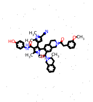 COc1cccc(CC(=O)N2CCc3cc(-c4c(-c5cc(C#N)n(C)c5C)c(C(=O)Nc5ccc(O)cc5)c(C)n4C)c(C(=O)N4Cc5ccccc5C[C@H]4C)cc3C2)c1